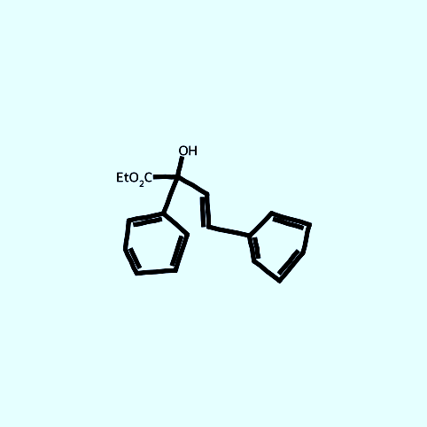 CCOC(=O)C(O)(C=Cc1ccccc1)c1ccccc1